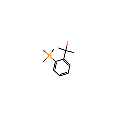 CC(C)(I)c1ccccc1[PH](C)(C)I